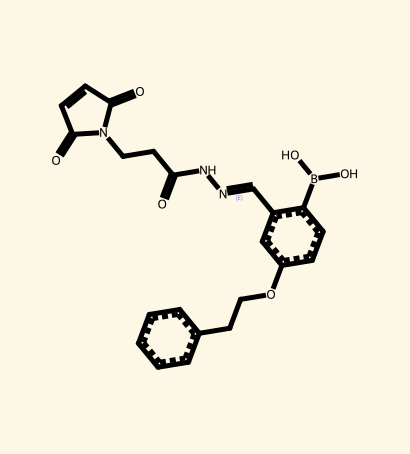 O=C(CCN1C(=O)C=CC1=O)N/N=C/c1cc(OCCc2ccccc2)ccc1B(O)O